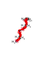 CC[Si](C)(C)O[Si](C)(C)CN1C(=O)c2ccc(Oc3ccc(C(C)(C)c4ccc(Oc5ccc6c(c5)C(=O)N(CCCCc5cccc(N7C(=O)c8ccc(Oc9ccc(C(C)(C)c%10ccc(Oc%11ccc%12c(c%11)C(=O)N(C)C%12=O)cc%10)cc9)cc8C7=O)c5)C6=O)cc4)cc3)cc2C1=O